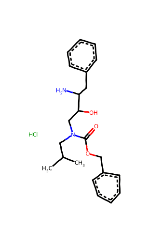 CC(C)CN(CC(O)C(N)Cc1ccccc1)C(=O)OCc1ccccc1.Cl